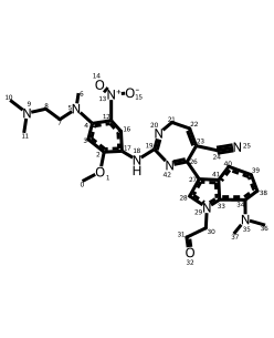 COc1cc(N(C)CCN(C)C)c([N+](=O)[O-])cc1NC1=NCC=C(C#N)C(c2cn(CC=O)c3c(N(C)C)cccc23)=N1